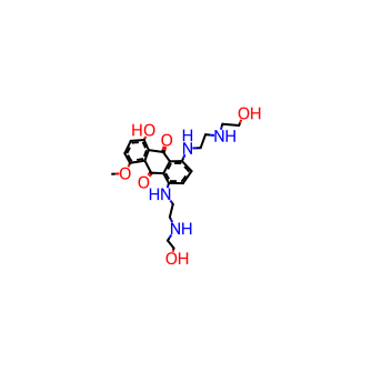 COc1ccc(O)c2c1C(=O)c1c(NCCNCCO)ccc(NCCNCCO)c1C2=O